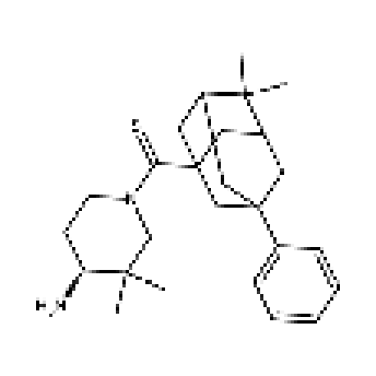 CC1(C)C2CC3(C(=S)N4CC[C@H](N)C(C)(C)C4)CC1CC(c1ccccc1)(C2)C3